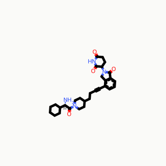 N[C@H](C(=O)N1CCC(CCC#Cc2cccc3c2CN(C2CCC(=O)NC2=O)C3=O)CC1)C1CCCCC1